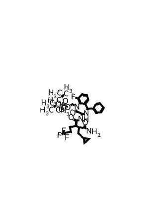 CC(C)(C)OP(=O)(OCN1C(=O)C(NC(=O)C(CCC(F)(F)F)C(CC2CC2)C(N)=O)N=C(c2ccccc2)c2cccc(F)c21)OC(C)(C)C